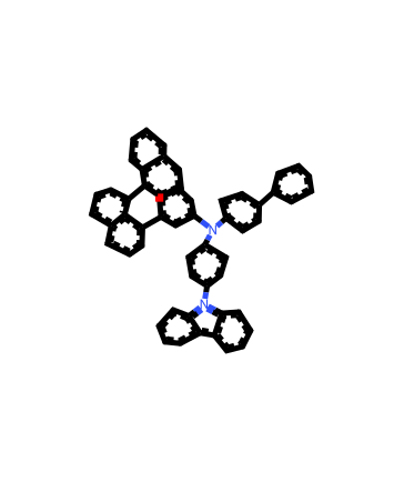 c1ccc(-c2ccc(N(c3ccc(-n4c5ccccc5c5ccccc54)cc3)c3cccc(-c4cccc5cccc(-c6cccc7ccccc67)c45)c3)cc2)cc1